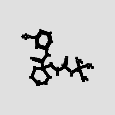 [CH2]c1cccc(OC(=O)C2(CNC(=O)OC(C)(C)C)CCOCC2)c1